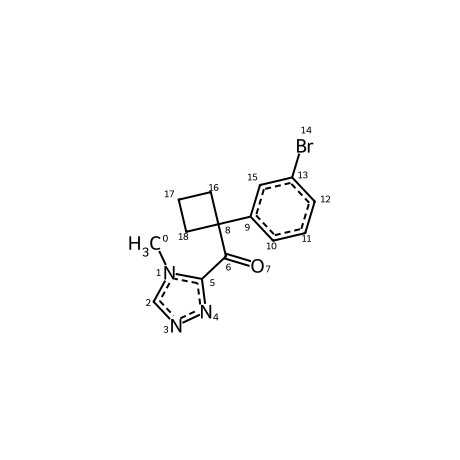 Cn1cnnc1C(=O)C1(c2cccc(Br)c2)CCC1